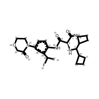 NC(=O)[C@@H](NC(C1CCC1)C1CCC1)C(=O)Nc1ccc(N2CCOCC2=O)cc1C(F)F